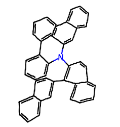 c1ccc(-c2ccccc2N(c2ccc3ccccc3c2)c2ccc3ccccc3c2-c2ccc3ccccc3c2)cc1